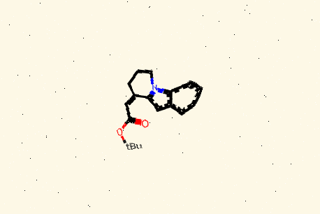 CC(C)(C)OC(=O)/C=C1/CCCn2c1cc1ccccc12